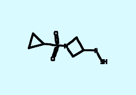 O=S(=O)(C1CC1)N1CC(SS)C1